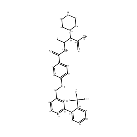 CC(NC(=O)c1ccc(OCc2ccnc(-c3ccccc3C(F)(F)F)c2)cc1)C(C(=O)O)N1CCOCC1